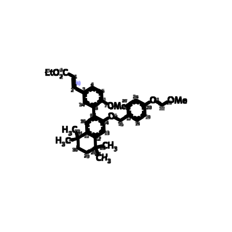 CCOC(=O)/C=C/c1ccc(OC)c(-c2cc3c(cc2OCc2ccc(OCOC)cc2)C(C)(C)CCC3(C)C)c1